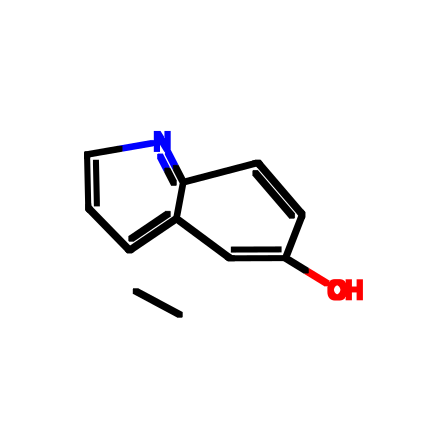 CC.Oc1ccc2ncccc2c1